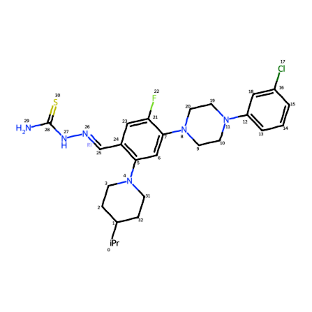 CC(C)C1CCN(c2cc(N3CCN(c4cccc(Cl)c4)CC3)c(F)cc2/C=N/NC(N)=S)CC1